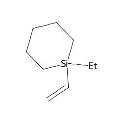 C=C[Si]1(CC)CCCCC1